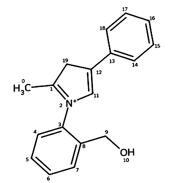 CC1=[N+](c2ccccc2CO)C=C(c2ccccc2)C1